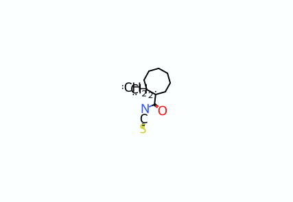 O=C(N=C=S)[C]1CCCCCCC1.[CH2].[CH2]